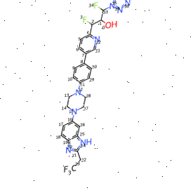 OC(C(F)c1ccc(-c2ccc(N3CCN(c4ccc5nc(CC(F)(F)F)[nH]c5c4)CC3)cc2)cn1)C(F)n1cnnn1